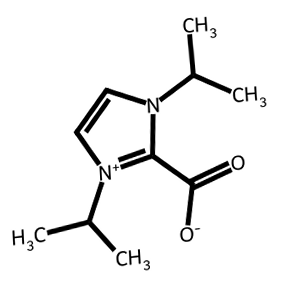 CC(C)n1cc[n+](C(C)C)c1C(=O)[O-]